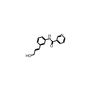 O=C(Nc1cccc(/C=C/CO)c1)c1cccnc1